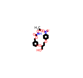 CC(=O)ONC(=O)OCc1ccccc1.O=[N+]([O-])c1ccc(OCCC(O)CO)cc1